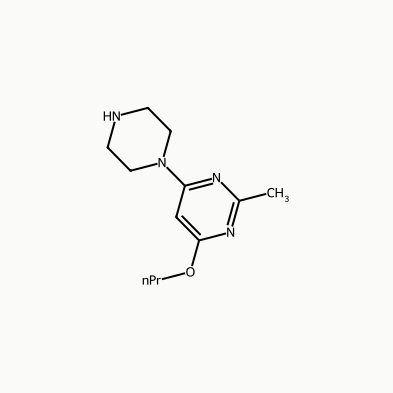 CCCOc1cc(N2CCNCC2)nc(C)n1